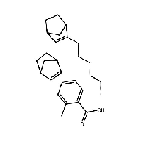 C1=CC2CCC1C2.CCCCCCC1=CC2CCC1C2.Cc1ccccc1C(=O)O